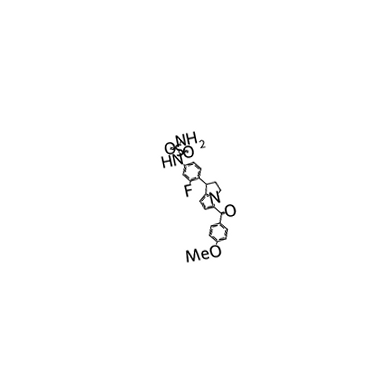 COc1ccc(C(=O)c2ccc3n2CCC3c2ccc(NS(N)(=O)=O)cc2F)cc1